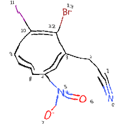 N#CCc1c([N+](=O)[O-])ccc(I)c1Br